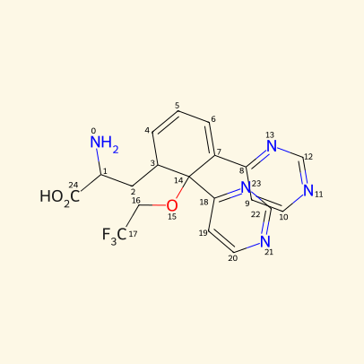 NC(CC1C=CC=C(c2ccncn2)C1(OCC(F)(F)F)c1ccncn1)C(=O)O